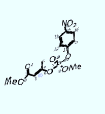 COC(=O)/C=C(\C)OP(=O)(OC)Oc1ccc([N+](=O)[O-])cc1